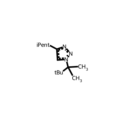 CCCC(C)c1cn(C(C)(C)C(C)(C)C)nn1